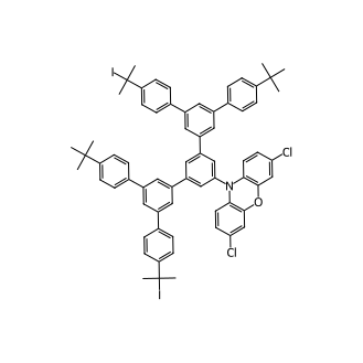 CC(C)(C)c1ccc(-c2cc(-c3ccc(C(C)(C)I)cc3)cc(-c3cc(-c4cc(-c5ccc(C(C)(C)C)cc5)cc(-c5ccc(C(C)(C)I)cc5)c4)cc(N4c5ccc(Cl)cc5Oc5cc(Cl)ccc54)c3)c2)cc1